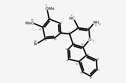 COc1cc(C2C(C#N)=C(N)Oc3c2ccc2ccccc32)cc(Br)c1OC